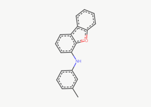 Cc1cccc(Nc2cccc3c2oc2ccccc23)c1